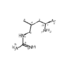 CC(=O)[C@@H](N)CC(C)CNC(=N)N